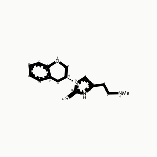 CNCCc1cn([C@H]2COc3ccccc3C2)c(=S)[nH]1